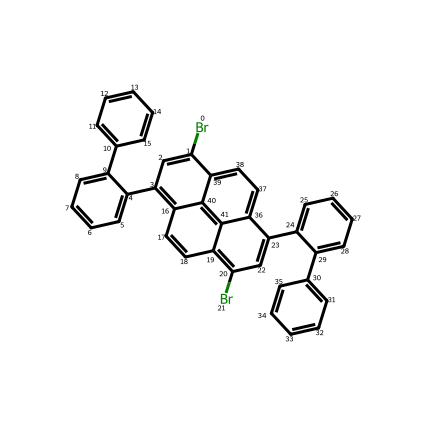 Brc1cc(-c2ccccc2-c2ccccc2)c2ccc3c(Br)cc(-c4ccccc4-c4ccccc4)c4ccc1c2c34